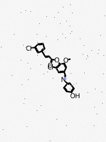 COc1cc(/C=N/c2ccc(O)cc2)cc(Cl)c1OC(=O)C=Cc1cccc(Cl)c1